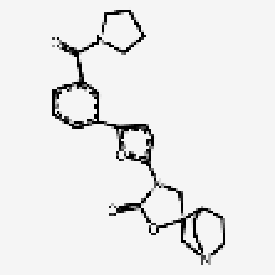 O=C(c1cccc(-c2ccc(N3C[C@@]4(CN5CCC4CC5)OC3=O)o2)c1)N1CCCC1